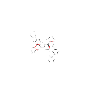 Oc1c(-c2ccccc2)cc(Oc2c(-c3ccccc3)cc(Oc3c(-c4ccccc4)cccc3-c3ccccc3)cc2-c2ccccc2)cc1-c1ccccc1